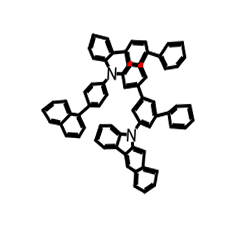 c1ccc(-c2ccc(-c3ccccc3N(c3ccc(-c4cccc5ccccc45)cc3)c3cccc(-c4cc(-c5ccccc5)cc(-n5c6ccccc6c6cc7ccccc7cc65)c4)c3)cc2)cc1